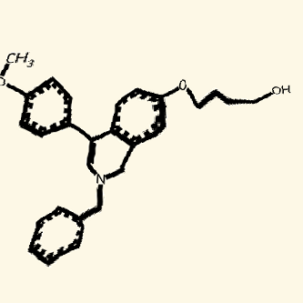 COc1ccc(C2=CN(Cc3ccccc3)Cc3cc(OCCCO)ccc32)cc1